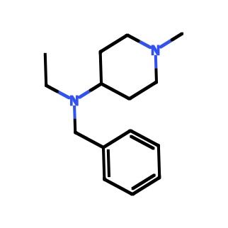 CCN(Cc1ccccc1)C1CCN(C)CC1